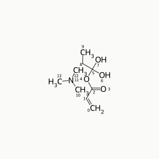 C=CC(=O)OC(O)(O)CC.CN(C)C